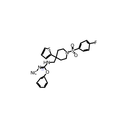 N#C/N=C(/NCC1(c2cccs2)CCN(S(=O)(=O)c2ccc(F)cc2)CC1)Oc1ccccc1